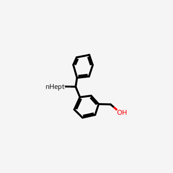 CCCCCCCC(c1ccccc1)c1cccc(CO)c1